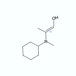 C/C(=C\O)N(C)C1CCCCC1